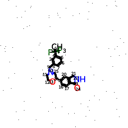 CC(F)(F)c1cccc(CN2CCO[C@@H](c3ccc4c(c3)CNC4=O)C2)c1